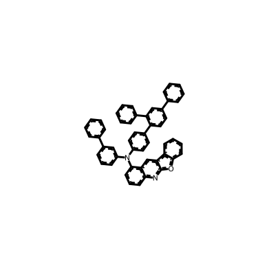 c1ccc(-c2cccc(N(c3ccc(-c4ccc(-c5ccccc5)cc4-c4ccccc4)cc3)c3cccc4nc5oc6ccccc6c5cc34)c2)cc1